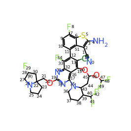 N#Cc1c(N)sc2c(F)ccc(-c3c(Cl)c4c5c(nc(OCC67CCCN6C[C@H](F)C7)nc5c3F)N3CCCC(C(F)F)C3CC(OC(F)F)O4)c12